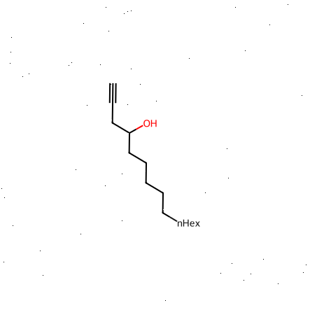 C#CCC(O)CCCCCCCCCCC